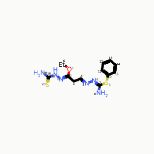 CCOC(CC=NN=C(N)Sc1ccccc1)=NNC(N)=S